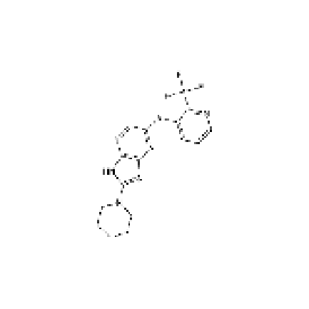 FC(F)(F)c1ncccc1Sc1cnc2[nH]c(N3CCCCC3)nc2n1